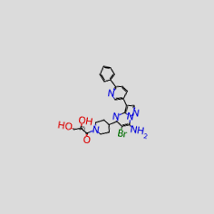 Nc1c(Br)c(C2CCN(C(=O)[C@H](O)CO)CC2)nc2c(-c3ccc(-c4ccccc4)nc3)cnn12